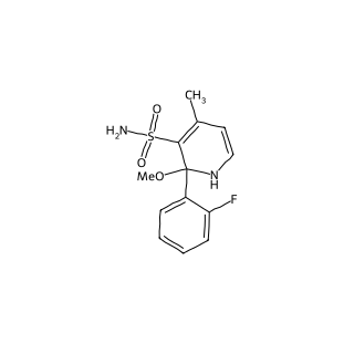 COC1(c2ccccc2F)NC=CC(C)=C1S(N)(=O)=O